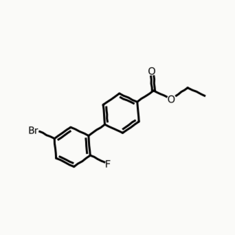 CCOC(=O)c1ccc(-c2cc(Br)ccc2F)cc1